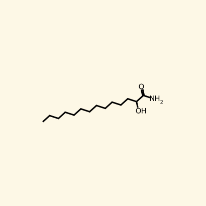 CCCCCCCCCCCCC(O)C(N)=O